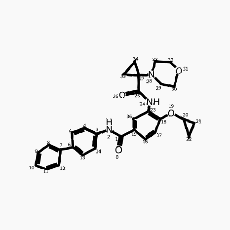 O=C(Nc1ccc(-c2ccccc2)cc1)c1ccc(OC2CC2)c(NC(=O)C2(N3CCOCC3)CC2)c1